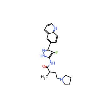 CC(CCN1CCCC1)C(=O)Nc1[nH]nc(-c2ccc3ncccc3c2)c1F